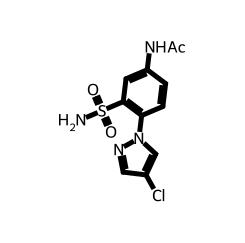 CC(=O)Nc1ccc(-n2cc(Cl)cn2)c(S(N)(=O)=O)c1